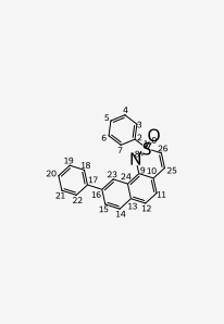 O=S1(c2ccccc2)=Nc2c(ccc3ccc(-c4ccccc4)cc23)C=C1